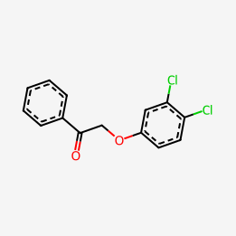 O=C(COc1ccc(Cl)c(Cl)c1)c1ccccc1